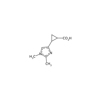 Cc1nc(C2CC2C(=O)O)cn1C